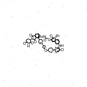 CNC(=O)COc1cc2cc(Nc3nc(N4CCC(O[C@H]5C[C@H](N6CCC(c7cccc8c7C(=O)N(C7CCC(=O)NC7=O)C8=O)CC6)C5)CC4)ncc3Cl)ccc2n(C(C)C)c1=O